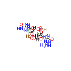 Nc1nc2c(ncn2[C@@H]2O[C@@H]3COP(=O)(S)O[C@@H]4[C@@H](COP(=O)(S)O[C@@H]2[C@@H]3F)O[C@@H](n2nnc3c(=O)[nH]cnc32)C4(F)F)c(=O)[nH]1